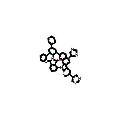 O=C1c2cccc(-n3c4ccc(-c5cncnc5)cc4c4cc(-c5cncnc5)ccc43)c2C(=O)N1c1c(-c2ccccc2)cc(-c2ccccc2)cc1-c1ccccc1